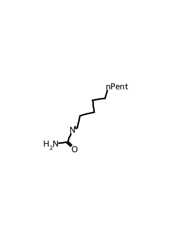 CCCCCCCCCC=NC(N)=O